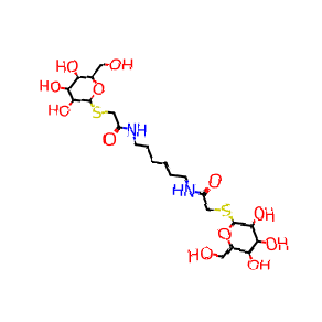 O=C(CSC1OC(CO)[C@H](O)C(O)C1O)NCCCCCCNC(=O)CS[C@@H]1OC(CO)[C@H](O)C(O)C1O